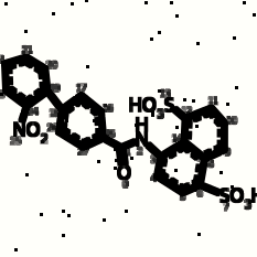 O=C(Nc1ccc(S(=O)(=O)O)c2cccc(S(=O)(=O)O)c12)c1ccc(-c2ccccc2[N+](=O)[O-])cc1